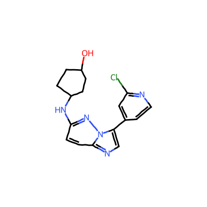 OC1CCC(Nc2ccc3ncc(-c4ccnc(Cl)c4)n3n2)CC1